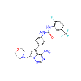 Nc1ncnn2c(CN3CCCOCC3)cc(-c3ccc(NC(=O)Nc4cc(C(F)(F)F)ccc4F)cc3)c12